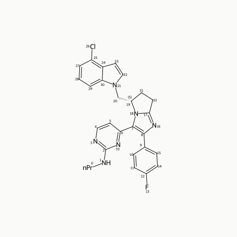 CCCNc1nccc(-c2c(-c3ccc(F)cc3)nc3n2[C@H](Cn2ccc4c(Cl)cccc42)CC3)n1